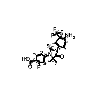 CC1(C)C(=O)N(c2ccc(N)c(C(F)(F)F)c2)C(=S)N1c1ccc(C(=O)O)c(F)c1